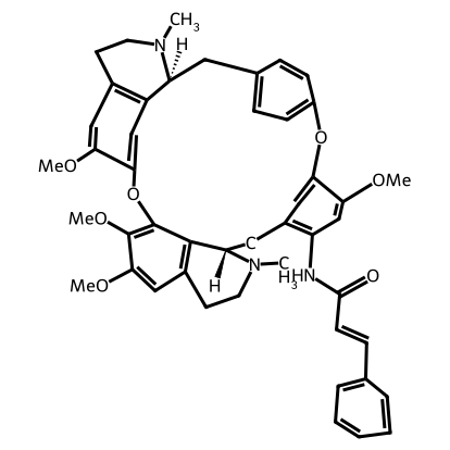 COc1cc(NC(=O)/C=C/c2ccccc2)c2cc1Oc1ccc(cc1)C[C@H]1c3cc(c(OC)cc3CCN1C)Oc1c(OC)c(OC)cc3c1[C@H](C2)N(C)CC3